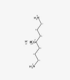 NCC[CH2][GeH2][CH2]CCN.[H-].[H-]